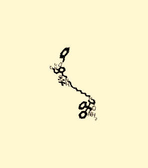 CC(C)(C)[Si](C)(C)OC(CNCCCCCCCCCN1CCC(C(C(N)=O)(c2ccccc2)c2ccccc2)C1)c1ccc(OCc2ccccc2)c2[nH]c(=O)ccc12